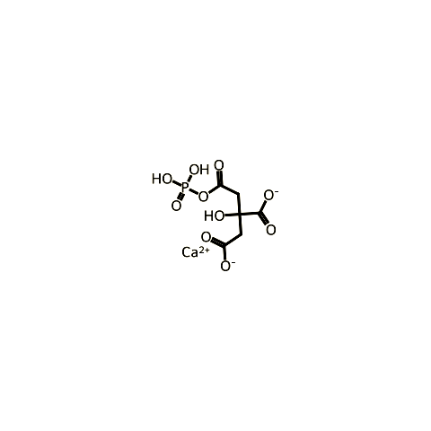 O=C([O-])CC(O)(CC(=O)OP(=O)(O)O)C(=O)[O-].[Ca+2]